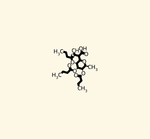 CCCC(=O)O[C@@H]1[C@@H](OC(=O)CCC)[C@H](OC(=O)CCC)C(C(CC)C(=O)O)O[C@H]1C